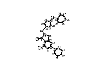 O=C1c2c(Cl)cc(-c3ccccn3)cc2CN1Cc1ccc(Oc2ccccc2)cc1